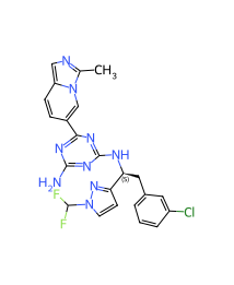 Cc1ncc2ccc(-c3nc(N)nc(N[C@@H](Cc4cccc(Cl)c4)c4ccn(C(F)F)n4)n3)cn12